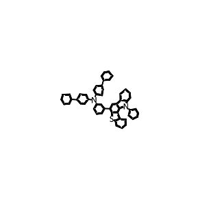 c1ccc(-c2ccc(N(c3ccc(-c4ccccc4)cc3)c3cccc(-c4cc5c6ccccc6n(-c6ccccc6)c5c5c4sc4ccccc45)c3)cc2)cc1